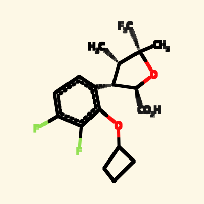 C[C@H]1[C@@H](c2ccc(F)c(F)c2OC2CCC2)[C@H](C(=O)O)O[C@@]1(C)C(F)(F)F